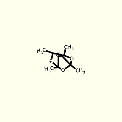 CC12CC3(C)OC(C)(CC(C)(O1)[P]3)O2